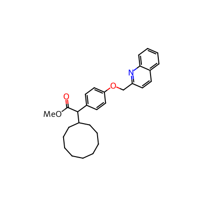 COC(=O)C(c1ccc(OCc2ccc3ccccc3n2)cc1)C1CCCCCCCCC1